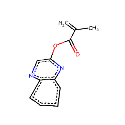 C=C(C)C(=O)Oc1cnc2ccccc2n1